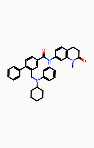 CN1C(=O)CCc2ccc(NC(=O)c3ccc(-c4ccccc4)c(CN(c4ccccc4)C4CCCCC4)c3)cc21